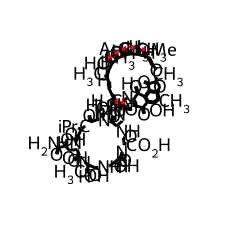 CO[C@H]1/C=C/O[C@@]2(C)Oc3c(C)c(O)c4c(c3C2=O)C(=O)C(NC(C)C(=O)NCC2NC(=O)C(C(=O)O)NC(=O)C(O)CNC(=O)C(C(C)O)NC(=O)C(C(O)C(O)C(N)=O)NC(=O)C(C(C)C)CC(=O)C(CO)NC2=O)=C(NC(=O)/C(C)=C\C=C\[C@H](C)[C@H](O)[C@@H](C)[C@@H](O)[C@@H](C)[C@H](OC(C)=O)[C@@H]1C)C4=O